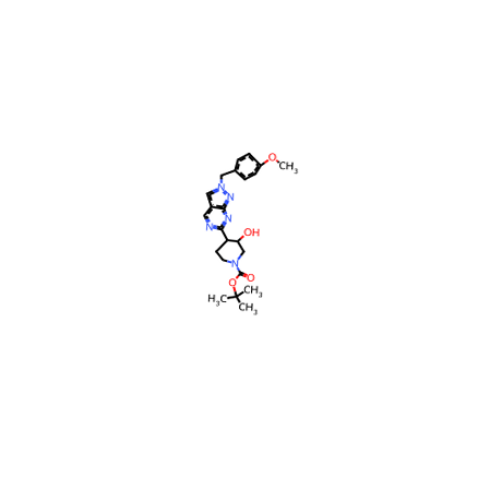 COc1ccc(Cn2cc3cnc(C4CCN(C(=O)OC(C)(C)C)CC4O)nc3n2)cc1